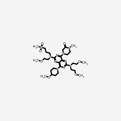 COCCN(CCCS(C)(=O)=O)c1nc(N2CCN(C)C(=O)C2)c2nc(N(CCOC)CCOC)nc(N3CCC(OC)CC3)c2n1